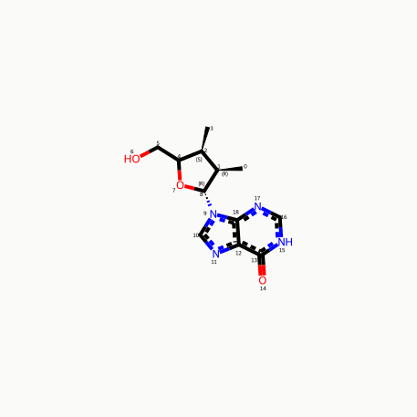 C[C@@H]1[C@H](C)C(CO)O[C@H]1n1cnc2c(=O)[nH]cnc21